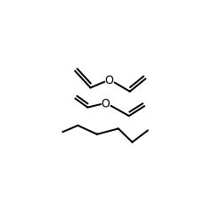 C=COC=C.C=COC=C.CCCCCC